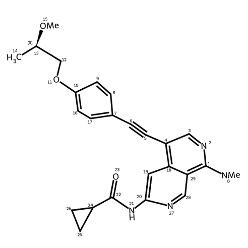 CNc1ncc(C#Cc2ccc(OC[C@@H](C)OC)cc2)c2cc(NC(=O)C3CC3)ncc12